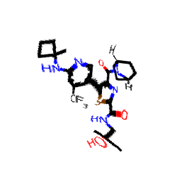 CC(C)(O)CNC(=O)c1nc(C(=O)N2[C@H]3CC[C@H]2CC3)c(-c2cnc(NC3(C)CCC3)cc2C(F)(F)F)s1